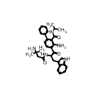 CC(C)NC(=O)c1c(-c2ccccc2)ccc(C(=O)C(Cc2c[nH]c3ccccc23)NC(=O)CC(C)(C)N)c1N